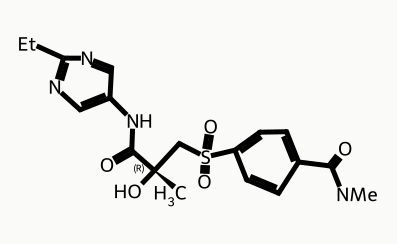 CCc1ncc(NC(=O)[C@@](C)(O)CS(=O)(=O)c2ccc(C(=O)NC)cc2)cn1